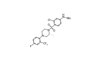 C[C@@H]1CN(c2ccc(F)cc2C(F)(F)F)CCN1S(=O)(=O)c1ccc(NC(C)(C)C)cc1Cl